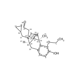 CCOc1c(O)ccc2c1[C@]1(C)CCN(CC3CC3)[C@H](C2)[C@]1(O)CCC=O